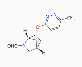 O=CN1C[C@H]2C[C@@H](Oc3ccc(C(F)(F)F)nn3)[C@@H]1C2